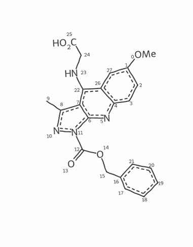 COc1ccc2nc3c(c(C)nn3C(=O)OCc3ccccc3)c(NCC(=O)O)c2c1